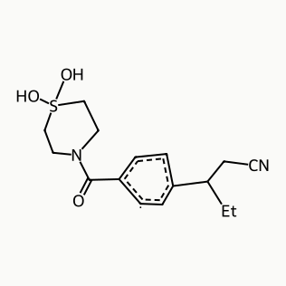 CCC(CC#N)c1c[c]c(C(=O)N2CCS(O)(O)CC2)cc1